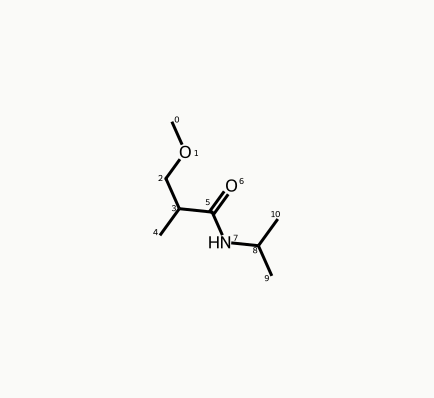 COCC(C)C(=O)NC(C)C